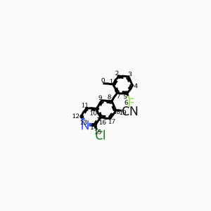 Cc1cccc(F)c1-c1cc2ccnc(Cl)c2cc1C#N